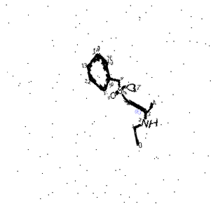 CCN/C(C)=C/S(=O)(=O)Cc1ccccc1